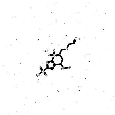 C=CCOCC1CC(NCC)c2cc(S(N)(=O)=O)sc2S1(=O)=O.Cl